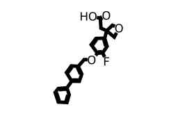 O=C(O)CC1(c2ccc(OCc3ccc(-c4ccccc4)cc3)c(F)c2)COC1